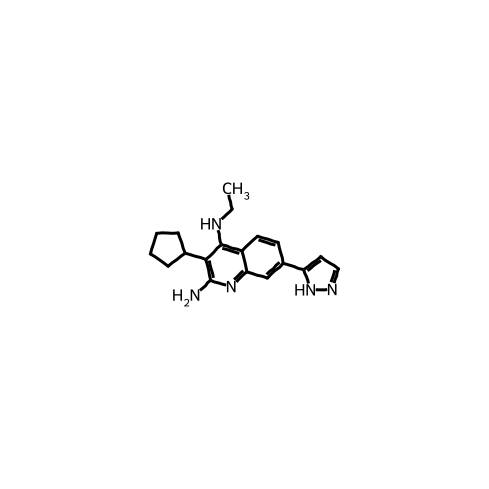 CCNc1c(C2CCCC2)c(N)nc2cc(-c3ccn[nH]3)ccc12